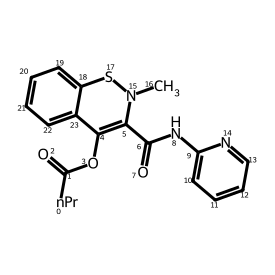 CCCC(=O)OC1=C(C(=O)Nc2ccccn2)N(C)Sc2ccccc21